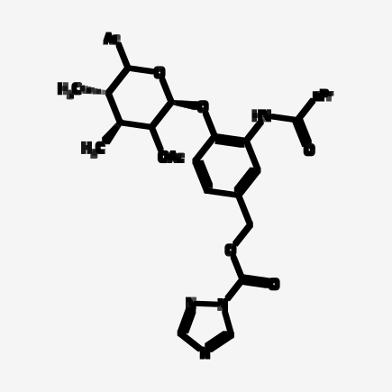 CCCC(=O)Nc1cc(COC(=O)n2cncn2)ccc1O[C@@H]1OC(C(C)=O)[C@@H](C)[C@H](C)C1OC(C)=O